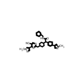 Cn1cc(-c2ccc(C(C(=O)NCc3ccccc3)C3CCC(Cc4ncc(C#N)c(-c5cnn(C)c5)n4)CC3)cc2)cn1